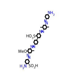 COc1cc(N=Nc2ccc(-c3ccc(N=Nc4cc(C)c(N=Nc5ccc(N)cc5)cc4C)cc3S(=O)(=O)O)cc2)c(C)cc1N=Nc1ccc(N)c(S(=O)(=O)O)c1